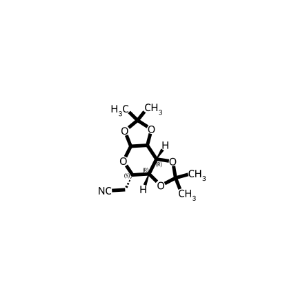 CC1(C)OC2O[C@@H](CC#N)[C@H]3OC(C)(C)O[C@H]3C2O1